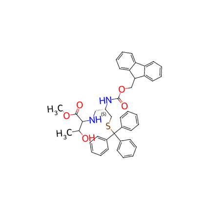 COC(=O)C(NC[C@@H](CSC(c1ccccc1)(c1ccccc1)c1ccccc1)NC(=O)OCC1c2ccccc2-c2ccccc21)C(C)O